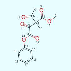 COC(=O)C(C)(C(C)=O)C(=O)C(=O)Oc1ccccc1